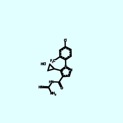 Cl.N=C(N)NC(=O)c1cnn(-c2ccc(Cl)cc2C(F)(F)F)c1C1CC1